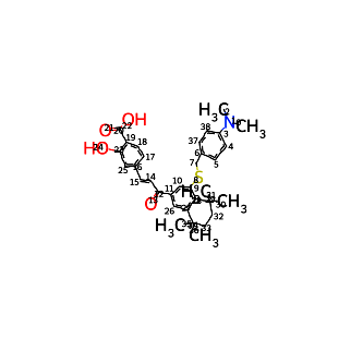 CN(C)c1ccc(CSc2cc(C(=O)/C=C/c3ccc(C(=O)O)c(O)c3)cc3c2C(C)(C)CCC3(C)C)cc1